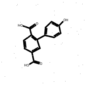 O=C(O)c1ccc(C(=O)O)c(-c2ccc(O)cc2)c1